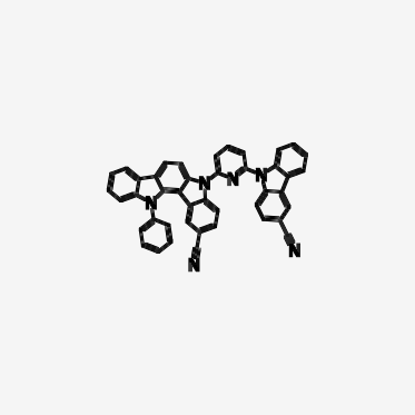 N#Cc1ccc2c(c1)c1ccccc1n2-c1cccc(-n2c3ccc(C#N)cc3c3c2ccc2c4ccccc4n(-c4ccccc4)c23)n1